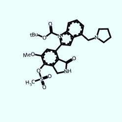 COc1cc(-c2cc3c(CN4CCCC4)cccc3n2C(=O)OC(C)(C)C)c2c(c1OS(C)(=O)=O)CNC2=O